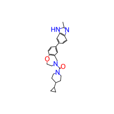 Cc1nc2ccc(-c3ccc4c(c3)CN(C(=O)N3CCC(C5CC5)CC3)CCO4)cc2[nH]1